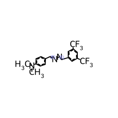 CN(C)c1ccc(/C=N/N=C/c2cc(C(F)(F)F)cc(C(F)(F)F)c2)cc1